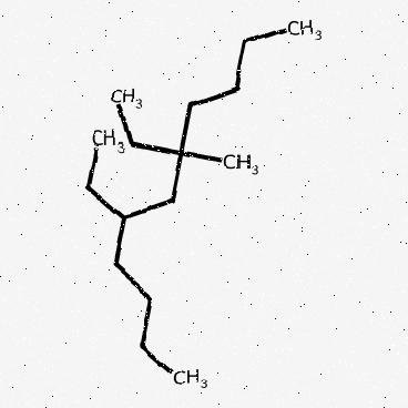 CCCCC(CC)CC(C)(CC)CCCC